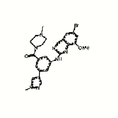 COc1cc(Br)cc2cnc(Nc3cc(C(=O)N4CCN(C)CC4)cc(-c4cnn(C)c4)c3)nc12